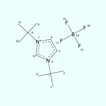 CC(C)(C)n1cc[n+](C(C)(C)C)c1.F[B-](F)(F)F